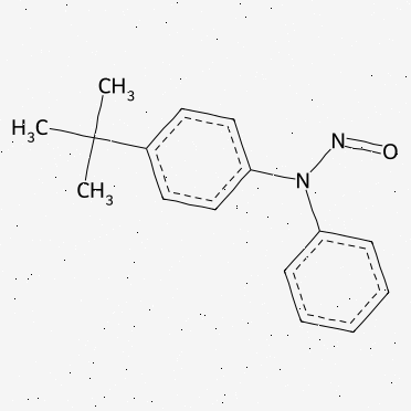 CC(C)(C)c1ccc(N(N=O)c2ccccc2)cc1